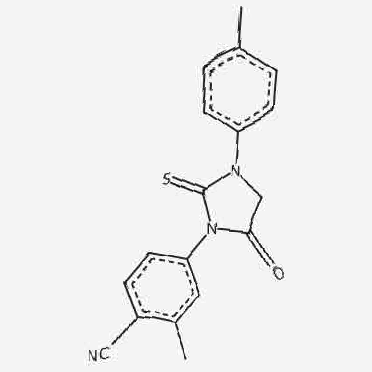 Cc1ccc(N2CC(=O)N(c3ccc(C#N)c(C)c3)C2=S)cc1